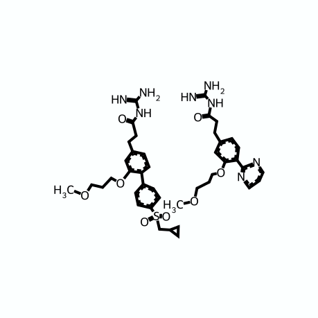 COCCCOc1cc(CCC(=O)NC(=N)N)ccc1-c1ccc(S(=O)(=O)CC2CC2)cc1.COCCCOc1cc(CCC(=O)NC(=N)N)ccc1-c1ncccn1